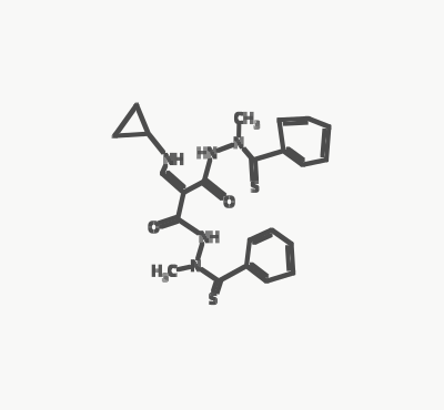 CN(NC(=O)C(=CNC1CC1)C(=O)NN(C)C(=S)c1ccccc1)C(=S)c1ccccc1